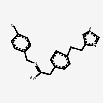 NC(Cc1ccc(CCc2c[nH]cn2)cc1)=NCc1ccc(Cl)cc1